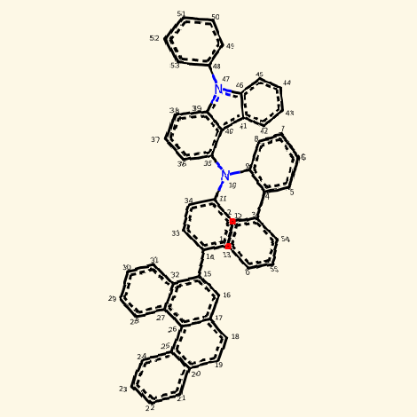 c1ccc(-c2ccccc2N(c2ccc(-c3cc4ccc5ccccc5c4c4ccccc34)cc2)c2cccc3c2c2ccccc2n3-c2ccccc2)cc1